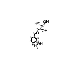 Cc1ccc(COCC(O)C(O)CO)cc1O